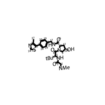 CNCC(=O)N[C@H](C(=O)N1C[C@H](O)C[C@H]1C(=O)NCc1ccc(-c2scnc2C)cc1)C(C)(C)C